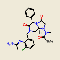 CNC(=O)N(C)N1CC(=O)N2[C@@H](c3ccccc3)C(=O)N(Cc3cccc(F)c3/N=C(\C)N)C[C@@H]21